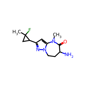 CN1C(=O)C(N)CCn2nc(C3CC3(C)F)cc21